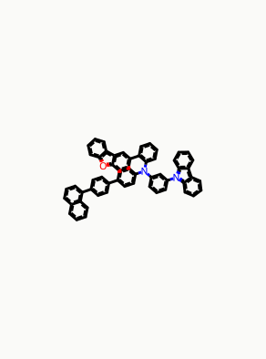 c1cc(N(c2ccc(-c3ccc(-c4cccc5ccccc45)cc3)cc2)c2ccccc2-c2ccc3oc4ccccc4c3c2)cc(-n2c3ccccc3c3ccccc32)c1